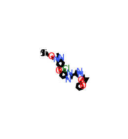 Cc1nc2ccc(Oc3ccc4ncc(-c5cnn(CC6(OC7CCCCO7)CC6)c5)nc4c3Cl)cc2n1COCC[Si](C)(C)C